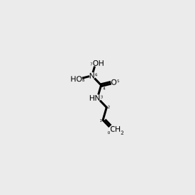 C=CCNC(=O)N(O)O